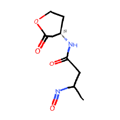 CC(CC(=O)N[C@H]1CCOC1=O)N=O